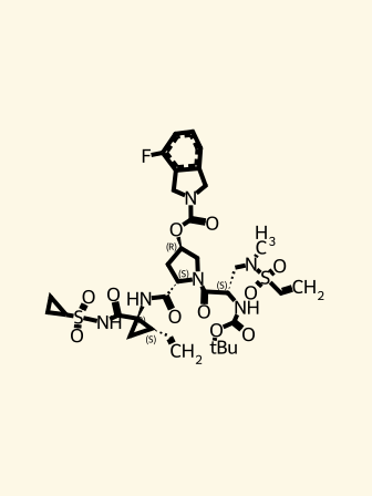 C=C[C@@H]1C[C@]1(NC(=O)[C@@H]1C[C@@H](OC(=O)N2Cc3cccc(F)c3C2)CN1C(=O)[C@H](CN(C)S(=O)(=O)C=C)NC(=O)OC(C)(C)C)C(=O)NS(=O)(=O)C1CC1